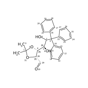 CC1(C)O[C@H]([C@H](O)C(O)C(c2ccccc2)(c2ccccc2)c2ccccc2)[C@H](C=O)O1